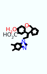 Cc1cc2ncn(CC=C3c4ccccc4COc4ccc(C(=O)O)cc43)c2cc1C.O